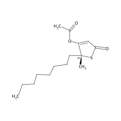 CCCCCCCC[C@@]1(C)SC(=O)C=C1OC(C)=O